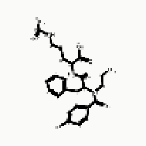 CCCN(C(=O)c1ccc(I)cc1)C(Cc1ccccc1)C(=O)NC(CCCNC(=N)N)C(=O)O